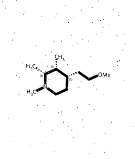 COCC[C@@H]1CCN(C)[C@H](C)[C@@H]1C